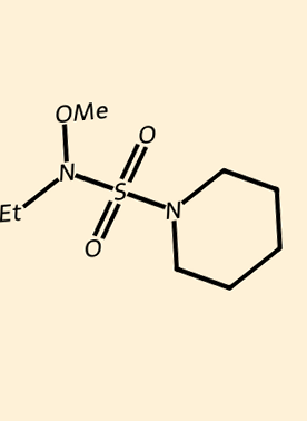 CCN(OC)S(=O)(=O)N1CCCCC1